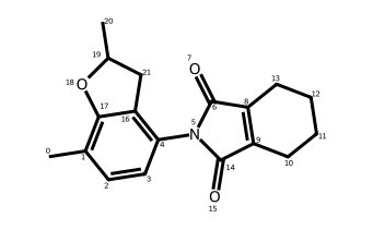 Cc1ccc(N2C(=O)C3=C(CCCC3)C2=O)c2c1OC(C)C2